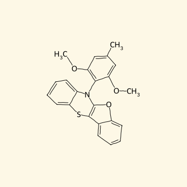 COc1cc(C)cc(OC)c1N1c2ccccc2Sc2c1oc1ccccc21